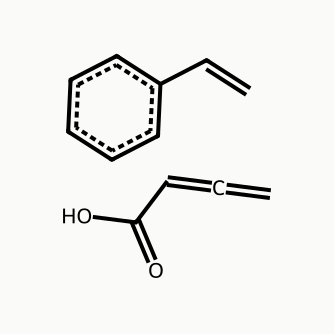 C=C=CC(=O)O.C=Cc1ccccc1